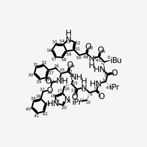 CC[C@H](C)[C@H](NC(=O)[C@@H](NC(=O)[C@H](CC(C)C)NC(=O)[C@H](Cc1c[nH]cn1)NC(=O)[C@H](Cc1ccccc1)NC(=O)OCc1ccccc1)C(C)C)C(=O)NC(=O)Cc1c[nH]c2ccccc12